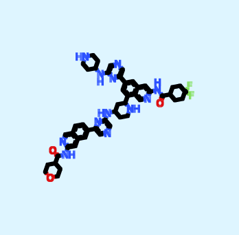 O=C(Nc1cc2cc(-c3cncc(NC4CCNC(c5cc(-c6cncc(NC7CCNCC7)n6)cc6cc(NC(=O)C7CCC(F)(F)CC7)ncc56)C4)n3)ccc2cn1)C1CCOCC1